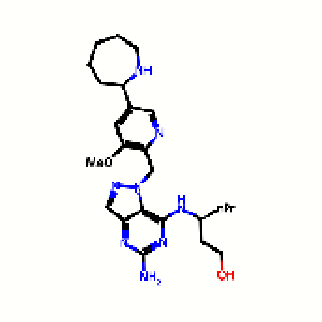 CCC[C@@H](CCO)Nc1nc(N)nc2cnn(Cc3ncc(C4CCCCCN4)cc3OC)c12